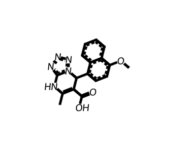 COc1ccc(C2C(C(=O)O)=C(C)Nc3nnnn32)c2ccccc12